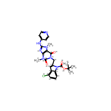 Cn1c(Nc2ccncc2)nc2c1c(=O)n(Cc1cc3c(Cl)cccc3n1C(=O)OC(C)(C)C)c(=O)n2C